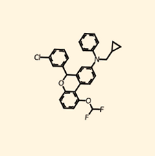 FC(F)Oc1cccc2c1-c1ccc(N(CC3CC3)c3ccccc3)cc1C(c1cccc(Cl)c1)O2